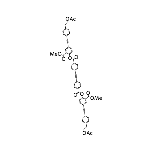 COC(=O)c1cc(C#Cc2ccc(CCOC(C)=O)cc2)ccc1OC(=O)c1ccc(C#Cc2ccc(C(=O)Oc3ccc(C#Cc4ccc(CCOC(C)=O)cc4)cc3C(=O)OC)cc2)cc1